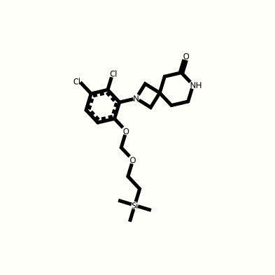 C[Si](C)(C)CCOCOc1ccc(Cl)c(Cl)c1N1CC2(CCNC(=O)C2)C1